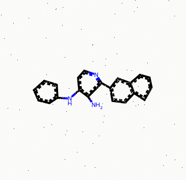 Nc1c(Nc2ccccc2)ccnc1-c1ccc2ccccc2c1